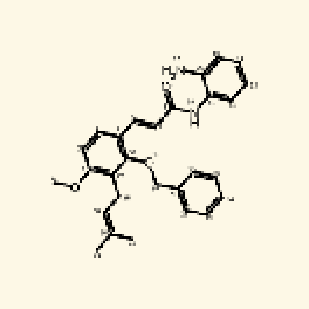 COc1ccc(C=CC(=O)Nc2ccccc2N)c(OCc2ccccc2)c1CC=C(C)C